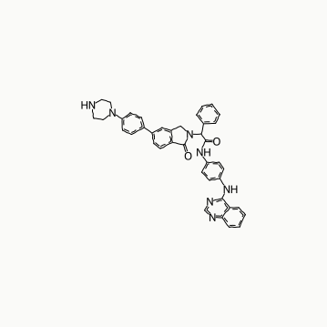 O=C(Nc1ccc(Nc2ncnc3ccccc23)cc1)C(c1ccccc1)N1Cc2cc(-c3ccc(N4CCNCC4)cc3)ccc2C1=O